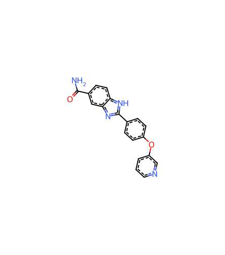 NC(=O)c1ccc2[nH]c(-c3ccc(Oc4cccnc4)cc3)nc2c1